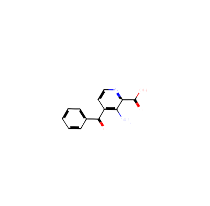 Nc1c(C(=O)c2ccccc2)ccnc1C(=O)O